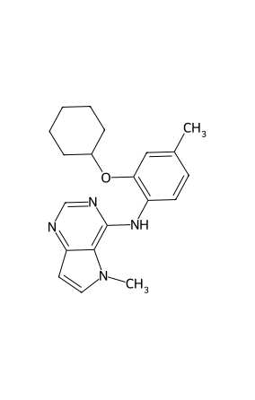 Cc1ccc(Nc2ncnc3ccn(C)c23)c(OC2CCCCC2)c1